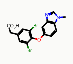 Cn1cnc2cc(Oc3c(Br)cc(CC(=O)O)cc3Br)ccc21